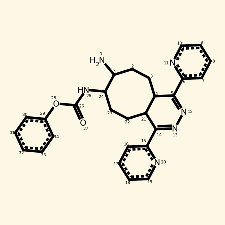 NC1CCC2C(c3ccccn3)=NN=C(c3ccccn3)C2CCC1NC(=O)Oc1ccccc1